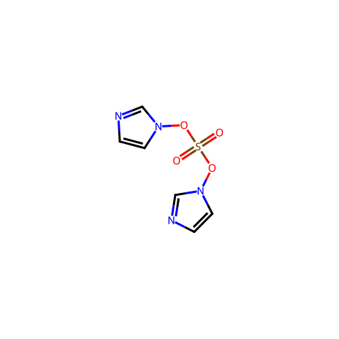 O=S(=O)(On1ccnc1)On1ccnc1